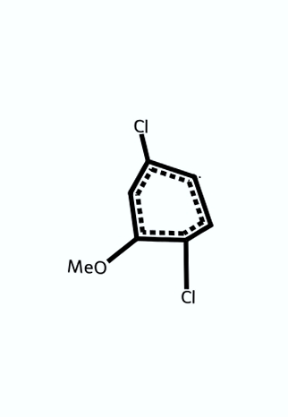 COc1cc(Cl)[c]cc1Cl